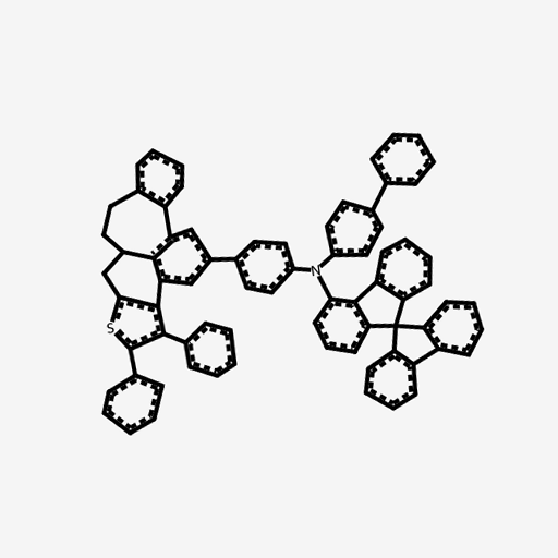 c1ccc(-c2ccc(N(c3ccc(-c4cc5c6c(c4)-c4c(sc(-c7ccccc7)c4-c4ccccc4)CC6CCc4ccccc4-5)cc3)c3cccc4c3-c3ccccc3C43c4ccccc4-c4ccccc43)cc2)cc1